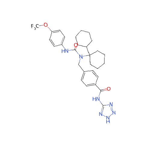 O=C(Nc1nn[nH]n1)c1ccc(CN(C(=O)Nc2ccc(OC(F)(F)F)cc2)C2(C3CCCCC3)CCCCC2)cc1